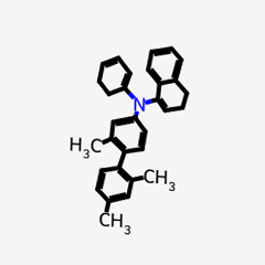 Cc1ccc(-c2ccc(N(C3=CC=CCC3)C3=CCCc4ccccc43)cc2C)c(C)c1